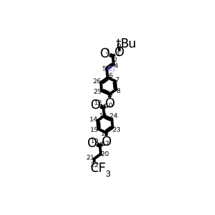 CC(C)(C)OC(=O)/C=C/c1ccc(OC(=O)c2ccc(OC(=O)CCC(F)(F)F)cc2)cc1